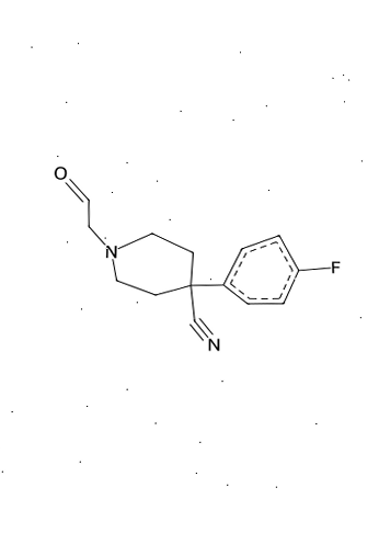 N#CC1(c2ccc(F)cc2)CCN(CC=O)CC1